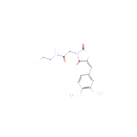 COc1ccc(/C=C2/SC(=O)N(CC(=O)NCCO)C2=O)cc1OC